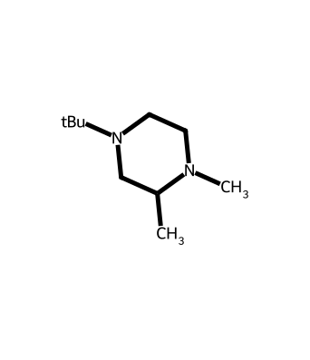 CC1CN(C(C)(C)C)CCN1C